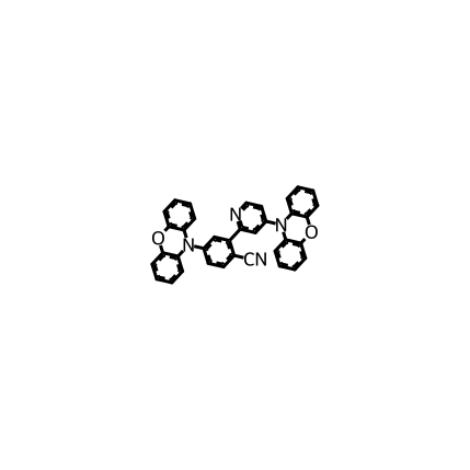 N#Cc1ccc(N2c3ccccc3Oc3ccccc32)cc1-c1cc(N2c3ccccc3Oc3ccccc32)ccn1